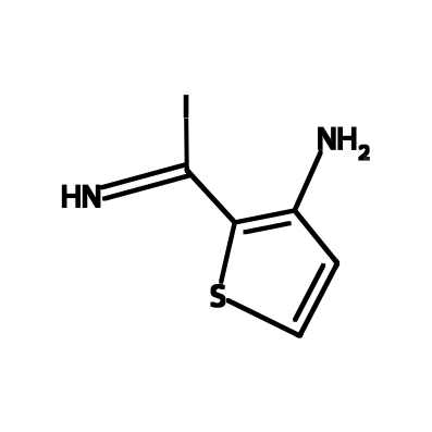 N=C(I)c1sccc1N